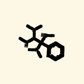 CNC(N(C)C)C(NC)(c1ccccn1)N(C)C